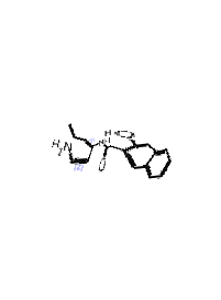 C=C/C=C(\C=C/N)NC(=O)c1cc2ccccc2cc1O